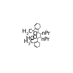 C=C1OC(C(CCC)C(CCC)C(OO)C2=C(C)C=CCC2)C2=C1C=CCC2